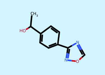 CC(O)c1ccc(-c2ncon2)cc1